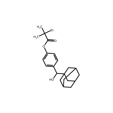 CCC(C)(C)C(=O)Oc1ccc(C(O)C23CC4CC(CC(C4)C2)C3)cc1